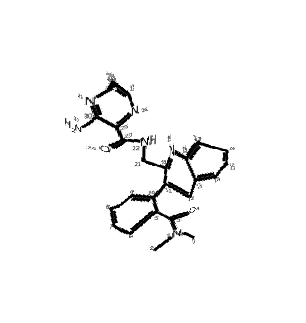 CN(C)C(=O)c1ccccc1-c1cc2ccccc2nc1CNC(=O)c1nccnc1N